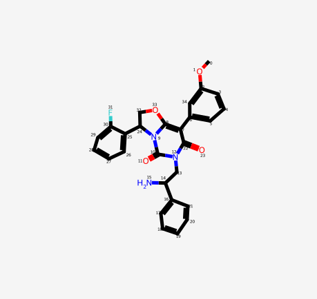 COc1cccc(-c2c3n(c(=O)n(CC(N)c4ccccc4)c2=O)C(c2ccccc2F)CO3)c1